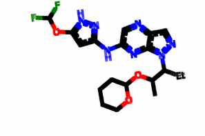 CCC(C(C)OC1CCCCO1)n1ncc2ncc(Nc3cc(OC(F)F)[nH]n3)nc21